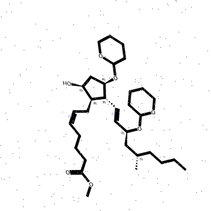 CCCC[C@H](C)C[C@@H](/C=C/[C@@H]1[C@@H](C/C=C\CCCC(=O)OC)[C@@H](O)C[C@H]1OC1CCCCO1)OC1CCCCO1